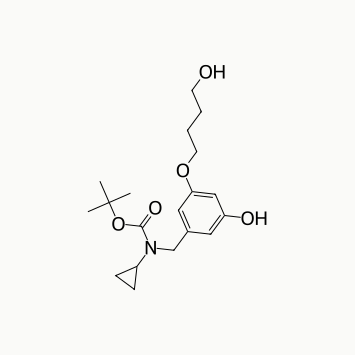 CC(C)(C)OC(=O)N(Cc1cc(O)cc(OCCCCO)c1)C1CC1